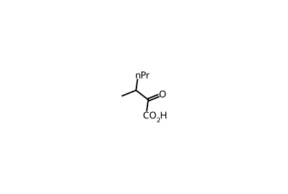 CCCC(C)C(=O)C(=O)O